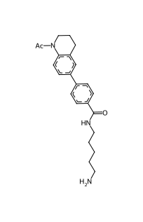 CC(=O)N1CCCc2cc(-c3ccc(C(=O)NCCCCCN)cc3)ccc21